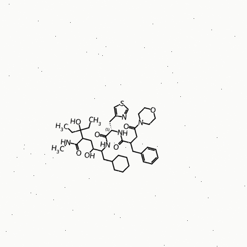 CCC(O)(CC)C(CC(O)C(CC1CCCCC1)NC(=O)[C@H](Cc1cscn1)NC(=O)C(CC(=O)N1CCOCC1)Cc1ccccc1)C(=O)NC